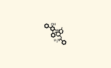 CC1C=CC2=C(C1)C(C)(Nc1cc(O)c(-c3ccccc3)cc1-c1ccccc1)CC=C2C[C@H](N)c1ccccc1